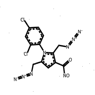 [N-]=[N+]=NCc1cc(C(=O)N=O)c(CN=[N+]=[N-])n1-c1ccc(Cl)cc1Cl